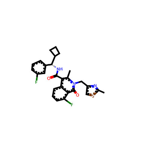 Cc1nc(Cn2c(C)c(C(=O)N[C@H](c3cccc(F)c3)C3CCC3)c3cccc(F)c3c2=O)cs1